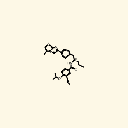 CCC[C@H](Cc1ccc(-c2cn3c(C)csc3n2)cc1)NC(=O)c1ccc(OC(C)C)c(C#N)c1